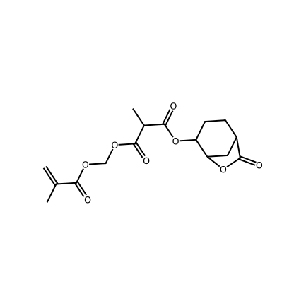 C=C(C)C(=O)OCOC(=O)C(C)C(=O)OC1CCC2CC1OC2=O